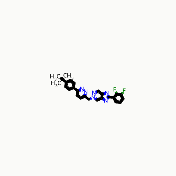 CC(C)(C)c1ccc(-c2ccc(Cn3cc4nc(-c5cccc(F)c5F)nc-4cn3)nn2)cc1